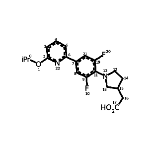 CC(C)Oc1cccc(-c2cc(F)c(N3CCC(CC(=O)O)C3)c(F)c2)n1